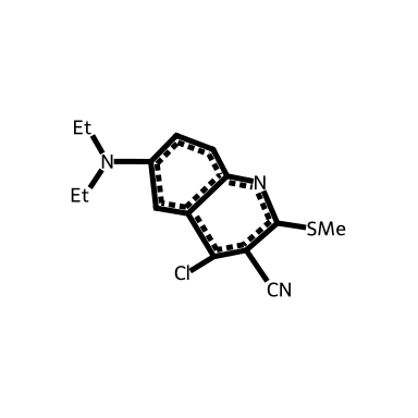 CCN(CC)c1ccc2nc(SC)c(C#N)c(Cl)c2c1